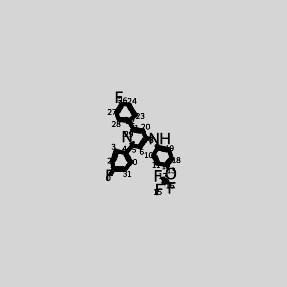 Fc1ccc(-c2cc(Nc3ccc(OC(F)(F)F)cc3)cc(-c3ccc(F)cc3)n2)cc1